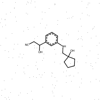 N#CCC(O)c1cccc(NCC2(O)CCCC2)c1